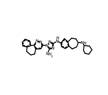 Nc1nc(Nc2ccc3c(c2)CCC(NC2CCCCC2)CC3)nn1-c1cc2c(nn1)-c1ccccc1CCC2